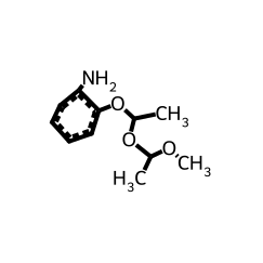 COC(C)OC(C)Oc1ccccc1N